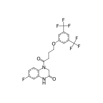 O=C1CN(C(=O)CCCOc2cc(C(F)(F)F)cc(C(F)(F)F)c2)c2ccc(F)cc2N1